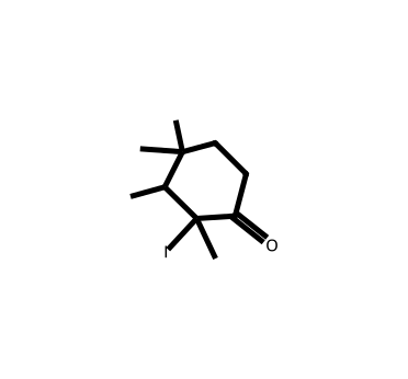 CC1C(C)(C)CCC(=O)C1(C)I